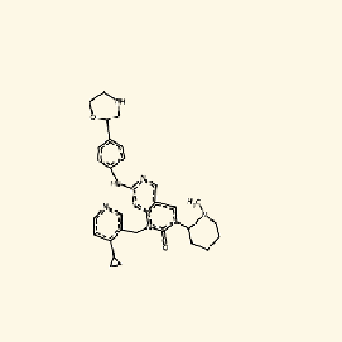 CN1CCCCC1c1cc2cnc(Nc3ccc(C4CNCCO4)cc3)nc2n(Cc2cnccc2C2CC2)c1=O